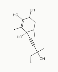 C=CC(C)(O)C#CC1(O)C(C)=C(O)C(O)CC1(C)C